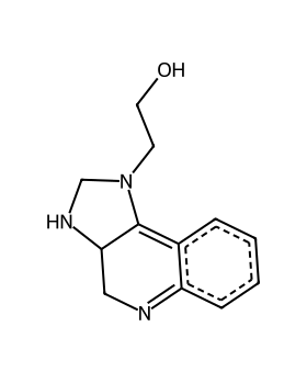 OCCN1CNC2CN=c3ccccc3=C21